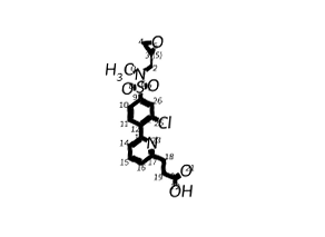 CN(C[C@H]1CO1)S(=O)(=O)c1ccc(-c2cccc(CCC(=O)O)n2)c(Cl)c1